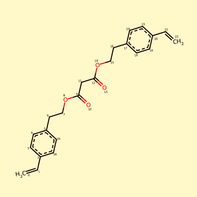 C=Cc1ccc(CCOC(=O)CC(=O)OCCc2ccc(C=C)cc2)cc1